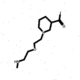 CNCCOCCN1CCCC(C(=O)I)C1